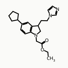 CCOC(=O)CN1CC(CCn2ccnc2)c2cc(C3CCCC3)ccc21